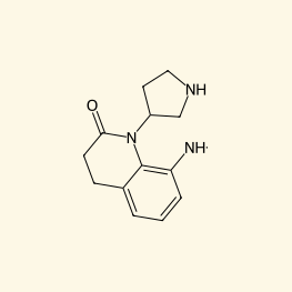 [NH]c1cccc2c1N(C1CCNC1)C(=O)CC2